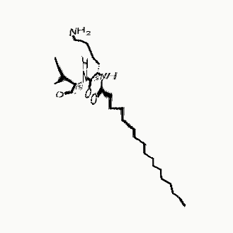 CCCCCCCCCCCCCCCC(=O)N[C@@H](CCCCN)C(=O)N[C@H]([C]=O)C(C)C